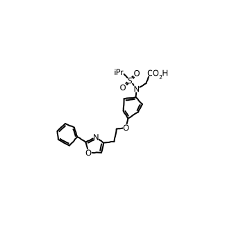 CC(C)S(=O)(=O)N(CC(=O)O)c1ccc(OCCc2coc(-c3ccccc3)n2)cc1